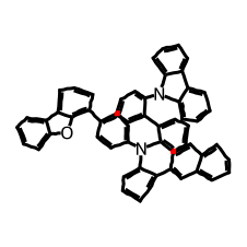 c1ccc(N(c2ccc(-c3cccc4c3oc3ccccc34)cc2)c2ccccc2-c2ccccc2-n2c3ccccc3c3ccccc32)c(-c2ccc3ccccc3c2)c1